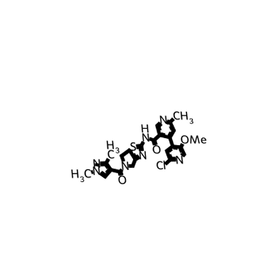 COc1cnc(Cl)cc1-c1cc(C)ncc1C(=O)Nc1nc2c(s1)CN(C(=O)c1cn(C)nc1C)C2